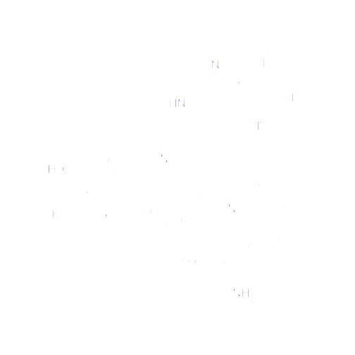 CC(C)(C)OC(=O)NC(Cc1[nH]cnc1C(F)(F)F)C(=O)N1CCCC1C(N)=O